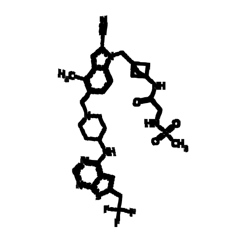 Cc1c(CN2CCC(Nc3ncnc4sc(CC(F)(F)F)cc34)CC2)ccc2c1cc(C#N)n2CC12CC(NC(=O)CNS(C)(=O)=O)(C1)C2